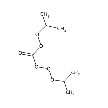 CC(C)OOOC(=O)OOC(C)C